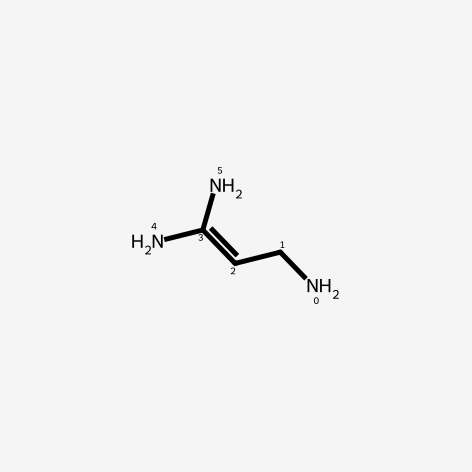 NCC=C(N)N